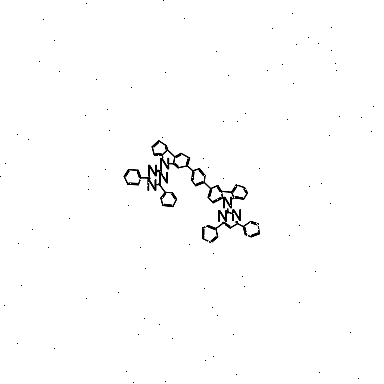 c1ccc(-c2cc(-c3ccccc3)nc(-n3c4ccccc4c4cc(-c5ccc(-c6ccc7c8ccccc8n(-c8nc(-c9ccccc9)nc(-c9ccccc9)n8)c7c6)cc5)ccc43)n2)cc1